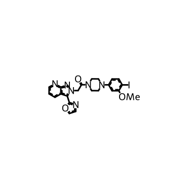 COc1cc(N2CCN(C(=O)Cn3nc4ncccc4c3-c3ncco3)CC2)ccc1I